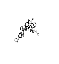 NC1=NC(c2cccc(NC(=O)c3ccc(Cl)cn3)c2)(C(F)F)COC1